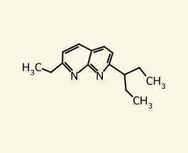 CCc1ccc2ccc(C(CC)CC)nc2n1